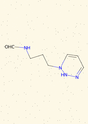 O=[C]NCCCN1C=CC=NN1